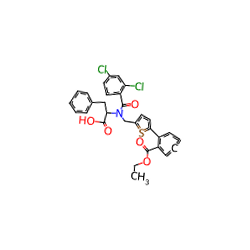 CCOC(=O)c1ccccc1-c1ccc(CN(C(=O)c2ccc(Cl)cc2Cl)C(Cc2ccccc2)C(=O)O)s1